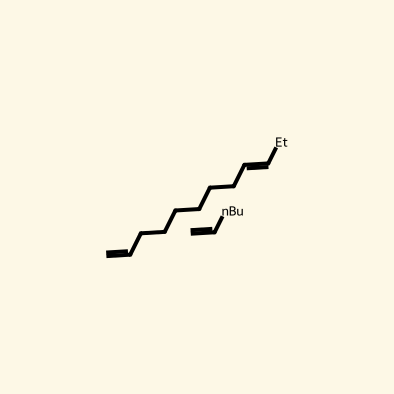 C=CCCCC.C=CCCCCCCC=CCC